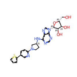 OC[C@H]1O[C@@H](n2cnc3c(N[C@H]4CCN(c5ccc(-c6cccs6)cn5)C4)ncnc32)[C@H](O)[C@@H]1O